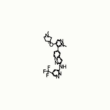 CN1CC[C@H](Oc2cnn(C)c2-c2ccn3nc(Nc4cc(C(F)(F)F)cnn4)cc3c2)C1